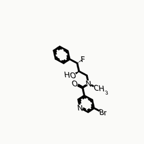 CN(C[C@@H](O)[C@@H](F)c1ccccc1)C(=O)c1cncc(Br)c1